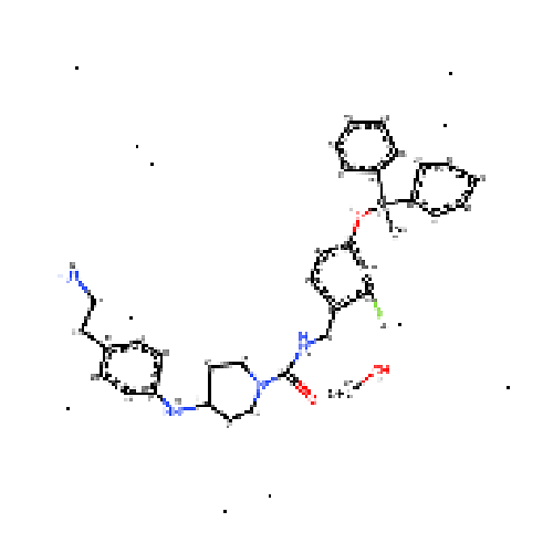 CC(C)(C)[Si](Oc1ccc(CNC(=O)N2CCC(Nc3ccc(CCN)cc3)CC2)c(F)c1)(c1ccccc1)c1ccccc1.O=CO